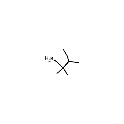 BC(C)(C)C(C)C